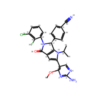 COc1nc(N)ncc1-c1cc2c(n1C(C)C)[C@H](c1ccc(C#N)cc1)N(c1cccc(Cl)c1F)C2=O